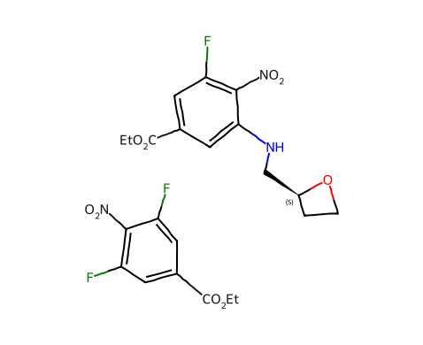 CCOC(=O)c1cc(F)c([N+](=O)[O-])c(F)c1.CCOC(=O)c1cc(F)c([N+](=O)[O-])c(NC[C@@H]2CCO2)c1